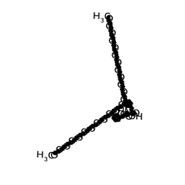 COCCOCCOCCOCCOCCOCCOCCOCCOCCOCCOCCOc1ccc(CC(NC(=O)OCc2ccccc2)C(=O)O)cc1OCCOCCOCCOCCOCCOCCOCCOCCOCCOCCOCCOC